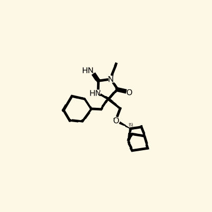 CN1C(=N)NC(CO[C@H]2CC3CCC2C3)(CC2CCCCC2)C1=O